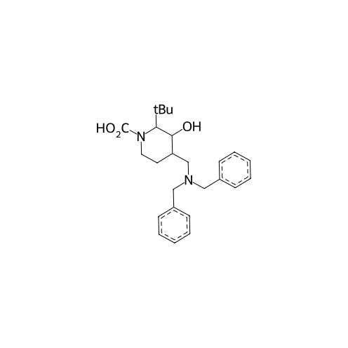 CC(C)(C)C1C(O)C(CN(Cc2ccccc2)Cc2ccccc2)CCN1C(=O)O